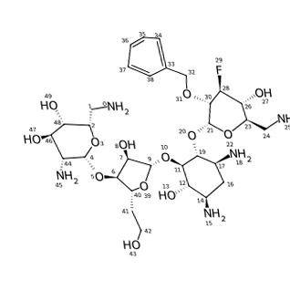 NC[C@@H]1O[C@H](O[C@H]2[C@@H](O)[C@H](O[C@@H]3[C@@H](O)[C@H](N)C[C@H](N)[C@H]3O[C@H]3O[C@H](CN)[C@@H](O)[C@H](F)[C@H]3OCc3ccccc3)O[C@@H]2CCO)[C@H](N)[C@@H](O)[C@@H]1O